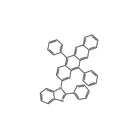 c1ccc(-c2c3ccc(-n4c(-c5ccccc5)nc5ccccc54)cc3c(-c3ccccc3)c3cc4ccccc4cc23)cc1